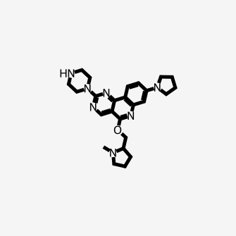 CN1CCCC1COc1nc2cc(N3CCCC3)ccc2c2nc(N3CCNCC3)ncc12